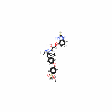 CC(C)(Cc1ccc(Oc2ccc(S(C)(=O)=O)cc2)cc1)NC[C@@H](O)COc1cccc2[nH]c(=S)[nH]c12